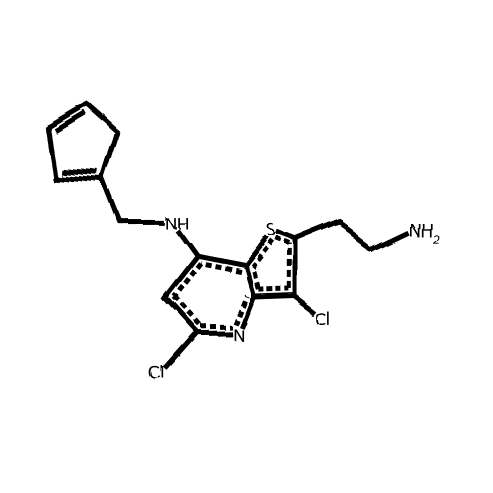 NCCc1sc2c(NCC3=CC=CC3)cc(Cl)nc2c1Cl